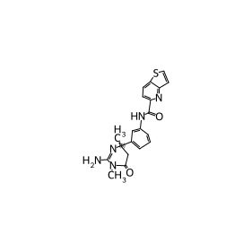 CN1C(=O)C[C@@](C)(c2cccc(NC(=O)c3ccc4sccc4n3)c2)N=C1N